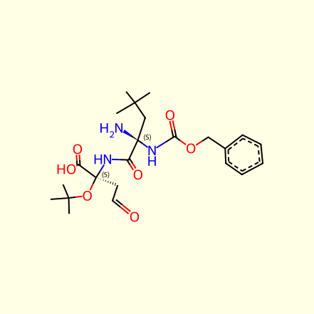 CC(C)(C)C[C@](N)(NC(=O)OCc1ccccc1)C(=O)N[C@@](CC=O)(OC(C)(C)C)C(=O)O